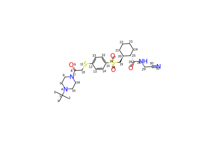 CC(C)(C)N1CCN(C(=O)CSc2ccc(S(=O)(=O)C[C@H]3CCCC[C@@H]3C(=O)NCC#N)cc2)CC1